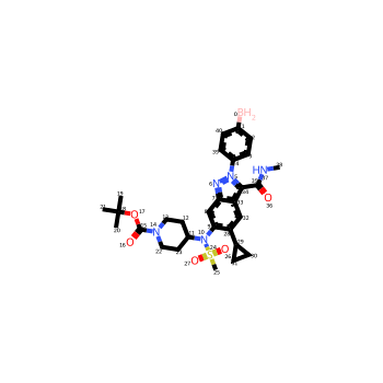 Bc1ccc(-n2nc3cc(N(C4CCN(C(=O)OC(C)(C)C)CC4)S(C)(=O)=O)c(C4CC4)cc3c2C(=O)NC)cc1